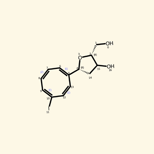 OC[C@H]1O[C@@H](C2=C/C=C\C=C(I)/C=C\2)CC1O